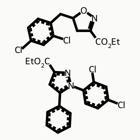 CCOC(=O)C1=NOC(Cc2ccc(Cl)cc2Cl)C1.CCOC(=O)c1cc(-c2ccccc2)n(-c2ccc(Cl)cc2Cl)n1